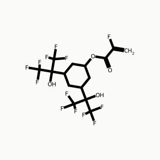 C=C(F)C(=O)OC1CC(C(O)(C(F)(F)F)C(F)(F)F)CC(C(O)(C(F)(F)F)C(F)(F)F)C1